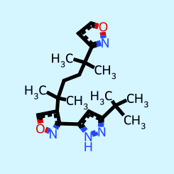 CC(C)(C)c1cc(-c2nocc2C(C)(C)CCC(C)(C)c2ccon2)[nH]n1